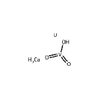 [CaH2].[O]=[V](=[O])[OH].[U]